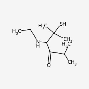 CCNC(C(=O)C(C)C)C(C)(C)S